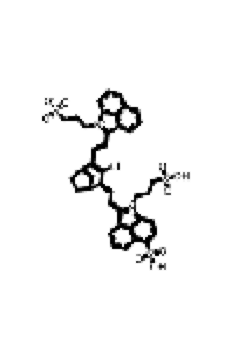 O=S(=O)([O-])CCC[N+]1=C(/C=C/C2=C(Cl)C(=C/C=c3/c4cccc5c(S(=O)(=O)O)ccc(c54)n3CCCS(=O)(=O)O)/C3CCC2C3)c2cccc3cccc1c23